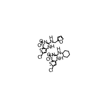 O=S1(=O)N=C(NC2CCCCC2)Nc2cc(Cl)sc21.O=S1(=O)N=C(NCc2ccco2)Nc2cc(Cl)sc21